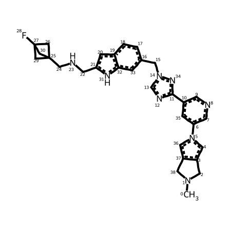 CN1Cc2cn(-c3cncc(-c4ncn(Cc5ccc6cc(CNCC78CC(F)(C7)C8)[nH]c6c5)n4)c3)cc2C1